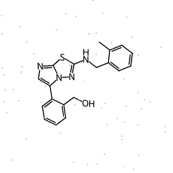 Cc1ccccc1CNc1nn2c(-c3ccccc3CO)cnc2s1